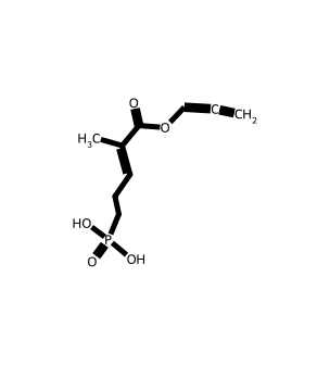 C=C=COC(=O)C(C)=CCCP(=O)(O)O